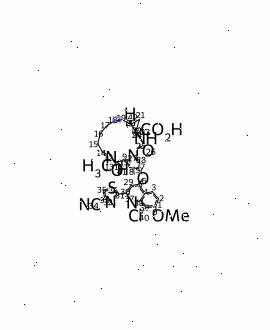 COc1ccc2c(O[C@H]3C[C@H]4C(=O)N(C)CCCC/C=C\[C@@H]5C[C@@]5(C(=O)O)NC(=O)N4C3)cc(-c3nc(C#N)cs3)nc2c1Cl